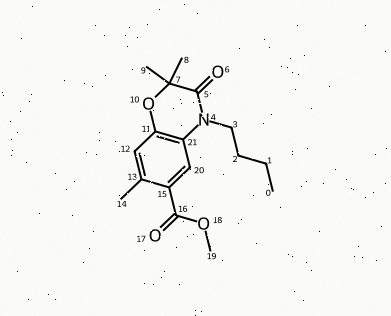 CCCCN1C(=O)C(C)(C)Oc2cc(C)c(C(=O)OC)cc21